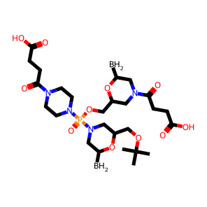 BC1CN(C(=O)CCC(=O)O)CC(COP(=O)(N2CCN(C(=O)CCC(=O)O)CC2)N2CC(B)OC(COC(C)(C)C)C2)O1